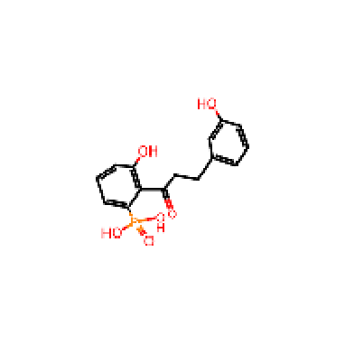 O=C(CCc1cccc(O)c1)c1c(O)cccc1P(=O)(O)O